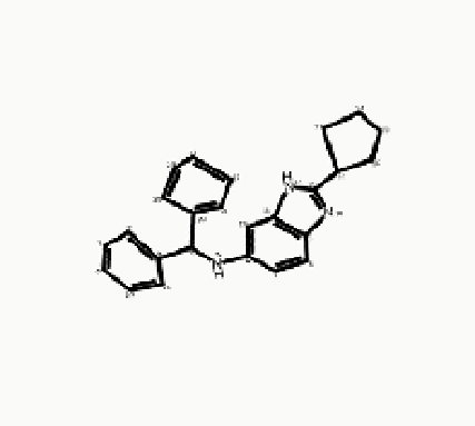 c1ccc(C(Nc2ccc3nc(C4CCCC4)[nH]c3c2)c2ccccc2)cc1